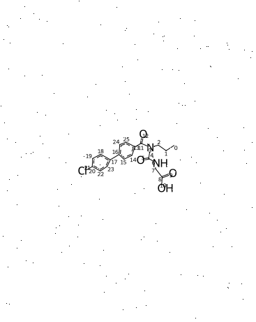 CCCN(C(=O)NCC(=O)O)C(=O)c1ccc(-c2ccc(Cl)cc2)cc1